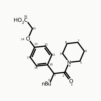 CCCCC(C(=O)N1CCCCC1)c1ccc(OCC(=O)O)cc1